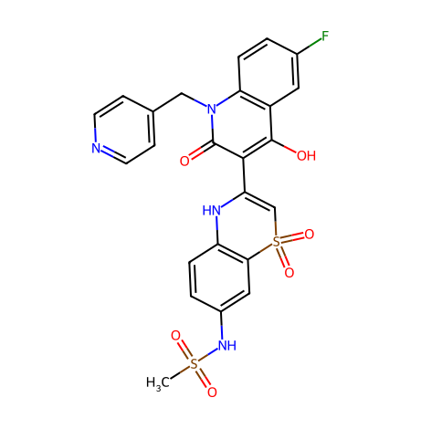 CS(=O)(=O)Nc1ccc2c(c1)S(=O)(=O)C=C(c1c(O)c3cc(F)ccc3n(Cc3ccncc3)c1=O)N2